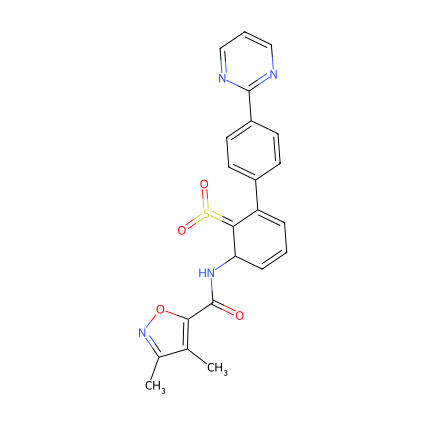 Cc1noc(C(=O)NC2C=CC=C(c3ccc(-c4ncccn4)cc3)C2=S(=O)=O)c1C